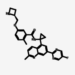 Cc1ccc2c(C3(NC(=O)c4cc(OC[C@@H]5CCN5)ccc4C)CC3)cc(-c3ncc(F)cn3)cc2n1